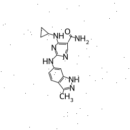 Cc1n[nH]c2cc(Nc3ncc(C(N)=O)c(NC4CC4)n3)ccc12